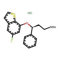 CNCC[C@H](Oc1cc(F)cc2ccsc12)c1ccccc1.Cl